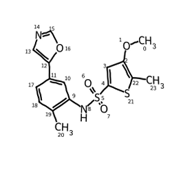 COc1cc(S(=O)(=O)Nc2cc(-c3cnco3)ccc2C)sc1C